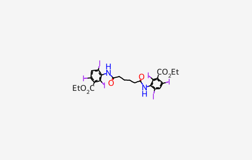 CCOC(=O)c1c(I)cc(I)c(NC(=O)CCCCC(=O)Nc2c(I)cc(I)c(C(=O)OCC)c2I)c1I